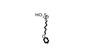 O=S(=O)(O)OSCCCCCCCOc1ccccc1